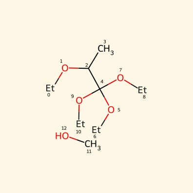 CCOC(C)C(OCC)(OCC)OCC.CO